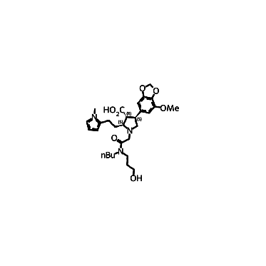 CCCCN(CCCO)C(=O)CN1C[C@H](c2cc(OC)c3c(c2)OCO3)[C@@H](C(=O)O)[C@@H]1CCc1cccn1C